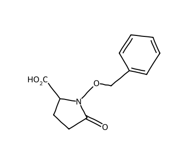 O=C(O)C1CCC(=O)N1OCc1ccccc1